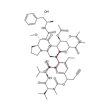 C#CCC(OC(=O)N(C)[C@H](C(=O)N[C@H](C(=O)N(C)[C@@H]([C@@H](C)CC)[C@@H](CC(=O)N1CCC[C@H]1[C@H](OC)[C@@H](C)C(=O)N[C@H](C)[C@@H](O)c1ccccc1)OC)C(C)C)C(C)C)c1ccc(O[C@@H]2OC(C(=O)OC)[C@@H](OC(C)=O)[C@H](OC(C)=O)C2OC(C)=O)c([N+](=O)[O-])c1